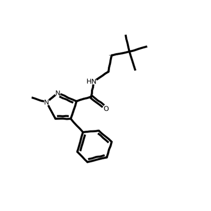 Cn1cc(-c2ccccc2)c(C(=O)NC[CH]C(C)(C)C)n1